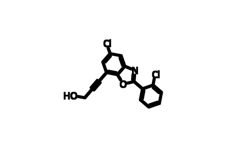 OCC#Cc1cc(Cl)cc2nc(-c3ccccc3Cl)oc12